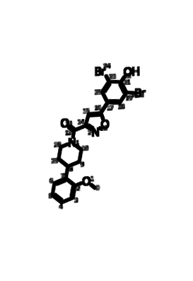 COc1ccccc1C1CCN(C(=O)c2cc(-c3cc(Br)c(O)c(Br)c3)on2)CC1